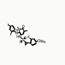 COc1ccc(C2CC2S(=O)(=O)Nc2cc(C)c(=O)n(C)c2Nc2ccc(I)cc2F)c(F)c1